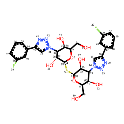 OCC1O[C@@H](S[C@@H]2OC(CO)[C@H](O)C(n3cc(-c4cccc(F)c4)nn3)[C@@H]2O)[C@H](O)C(n2cc(-c3cccc(F)c3)nn2)[C@H]1O